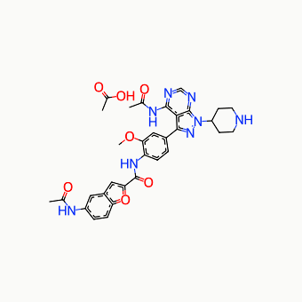 CC(=O)O.COc1cc(-c2nn(C3CCNCC3)c3ncnc(NC(C)=O)c23)ccc1NC(=O)c1cc2cc(NC(C)=O)ccc2o1